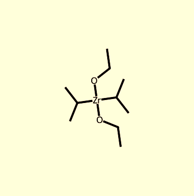 CC[O][Zr]([O]CC)([CH](C)C)[CH](C)C